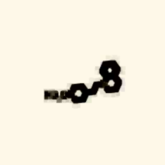 O=C(O)N1CCC(CCN2CCCc3ccccc32)CC1